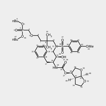 CCCCOP(=O)(COCCC(C)(C)CN(C[C@@H](O)[C@H](Cc1ccccc1)NC(=O)O[C@H]1CO[C@H]2OCC[C@H]21)S(=O)(=O)c1ccc(OC)cc1)OCCCC